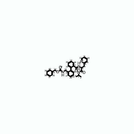 CC(C)NC(=O)C(Cc1ccccn1)NC(=O)c1ccccc1-c1ccccc1CNC(=O)OCc1ccccc1